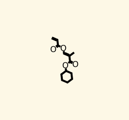 C=CC(=O)OC=C(C)C(=O)OC1CCCCC1